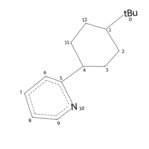 CC(C)(C)C1CCC(c2ccccn2)CC1